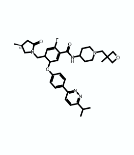 CC(C)c1ccc(-c2ccc(OC3C=C(C(=O)NC4CCN(CC5(C)COC5)CC4)C(F)=CC3CN3C[C@@H](C)CC3=O)cc2)nn1